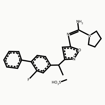 CC(c1ccc(-c2ccccc2)c(F)c1)c1cc(/N=C(/N)N2CCCC2)on1.CS(=O)(=O)O